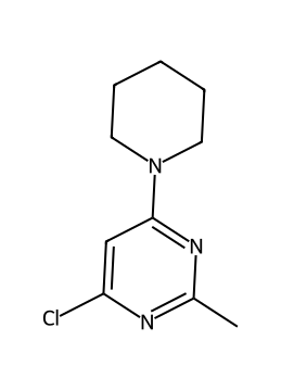 Cc1nc(Cl)cc(N2CCCCC2)n1